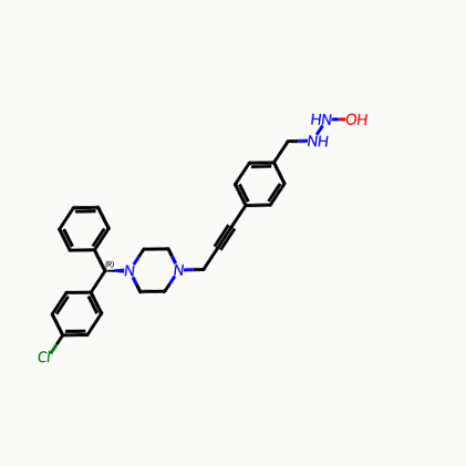 ONNCc1ccc(C#CCN2CCN([C@H](c3ccccc3)c3ccc(Cl)cc3)CC2)cc1